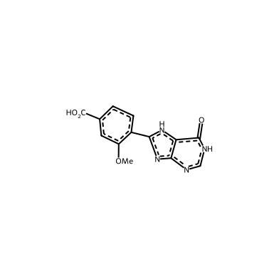 COc1cc(C(=O)O)ccc1-c1nc2nc[nH]c(=O)c2[nH]1